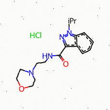 CC(C)n1nc(C(=O)NCCN2CCOCC2)c2ccccc21.Cl